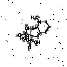 CN1CC=CC2=CC(P(=O)(O)O)(P(=O)(O)O)C=C21